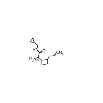 C=CCC1CCC1[C@@H](N)C(=O)NCC1CC1